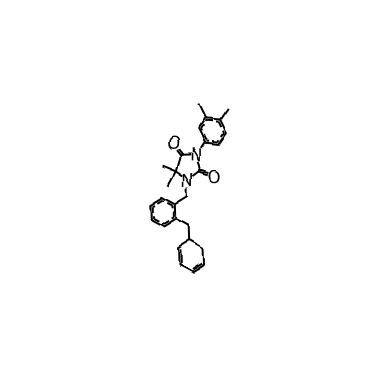 Cc1ccc(N2C(=O)N(Cc3ccccc3CC3C=CC=CC3)C(C)(C)C2=O)cc1C